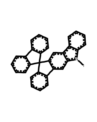 In1c2ccccc2c2cc3c(cc21)-c1ccccc1C31c2ccccc2-c2ccccc21